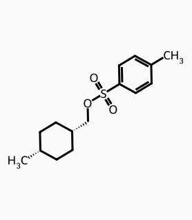 Cc1ccc(S(=O)(=O)OC[C@H]2CC[C@@H](C)CC2)cc1